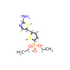 CCOP(=O)(OCC)c1ccc(-c2cnc(N)s2)s1